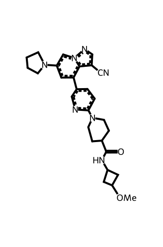 COC1CC(NC(=O)C2CCN(c3ccc(-c4cc(N5CCCC5)cn5ncc(C#N)c45)cn3)CC2)C1